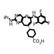 CC(C)Nc1ncc2c(n1)CC([C@H]1CC[C@@H](C(=O)O)CC1)=CC(Nc1c(F)cc(F)cc1F)=N2